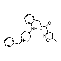 Cc1cc(C(=O)NCc2cccnc2NC2CCN(Cc3ccccc3)CC2)no1